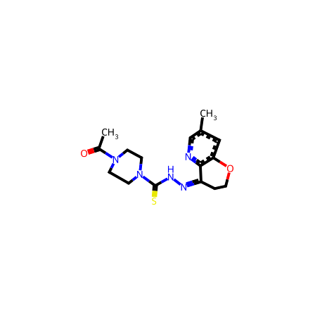 CC(=O)N1CCN(C(=S)N/N=C2/CCOc3cc(C)cnc32)CC1